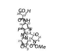 COC(=O)N1CCOC(Cc2c(-c3c(F)cc(NC(=O)CCC(=O)O)cc3F)nc3cc(C)ccn23)C1